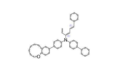 C=C/C(=C\C=C\c1ccccc1)N(c1ccc(-c2ccccc2)cc1)c1ccc(-c2ccc3occccccc3c2)cc1